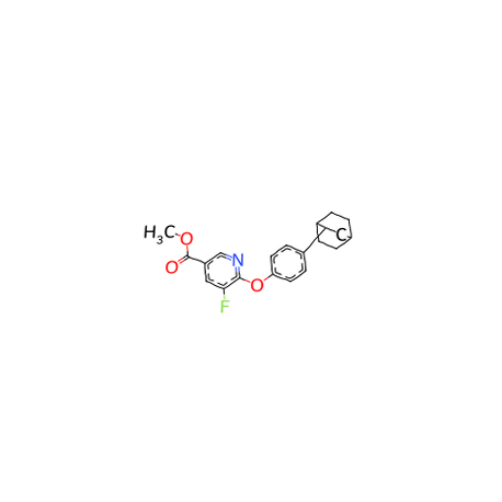 COC(=O)c1cnc(Oc2ccc(C3CC4CCC3CC4)cc2)c(F)c1